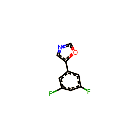 Fc1cc(F)cc(-c2cnco2)c1